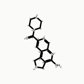 Nc1nc2cnc(C(=O)N3CCSCC3)cc2c2c1COC2